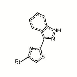 CCc1csc(-c2n[nH]c3ccccc23)n1